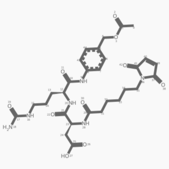 CC(=O)OCc1ccc(NC(=O)[C@H](CCCNC(N)=O)NC(=O)[C@H](CC(=O)O)NC(=O)CCCCCN2C(=O)C=CC2=O)cc1